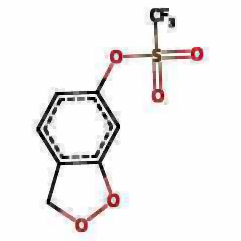 O=S(=O)(Oc1ccc2c(c1)OOC2)C(F)(F)F